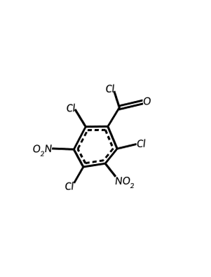 O=C(Cl)c1c(Cl)c([N+](=O)[O-])c(Cl)c([N+](=O)[O-])c1Cl